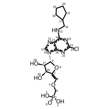 O=P(O)(O)COC=C1O[C@@H](n2cnc3c(NCC4CCCC4)nc(Cl)nc32)[C@H](O)[C@@H]1O